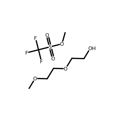 COCCOCCO.COS(=O)(=O)C(F)(F)F